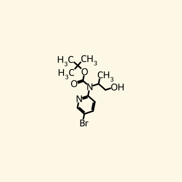 CC(CO)N(C(=O)OC(C)(C)C)c1ccc(Br)cn1